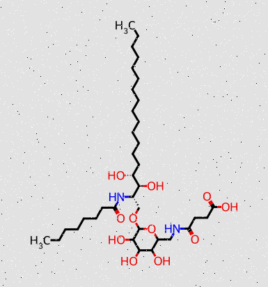 CCCCCCCCCCCCCC[C@@H](O)[C@@H](O)[C@H](COC1OC(CNC(=O)CCC(=O)O)C(O)C(O)C1O)NC(=O)CCCCCCC